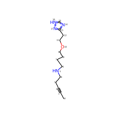 CC#CCCNCCCCOCCc1nc[nH]n1